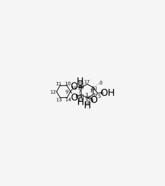 C[C@@]12C[C@@H](OC1O)[C@@H]1OC3(CCCCC3)O[C@@H]1C2